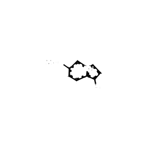 [CH2]Cc1ccn2cc(OC)ccc12